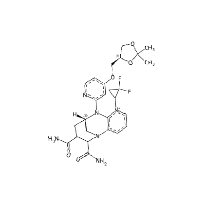 CC1(C)OC[C@H](COc2ccnc(N3c4c(ccc[n+]4C4CC4(F)F)N4C[C@@H]3CC(C(N)=O)C4C(N)=O)c2)O1